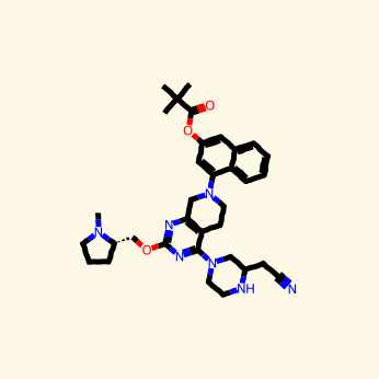 CN1CCC[C@H]1COc1nc2c(c(N3CCNC(CC#N)C3)n1)CCN(c1cc(OC(=O)C(C)(C)C)cc3ccccc13)C2